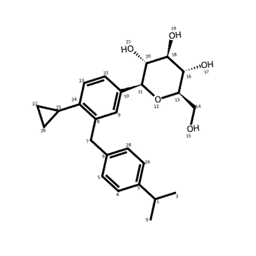 CC(C)c1ccc(Cc2cc([C@@H]3O[C@H](CO)[C@@H](O)[C@H](O)[C@H]3O)ccc2C2CC2)cc1